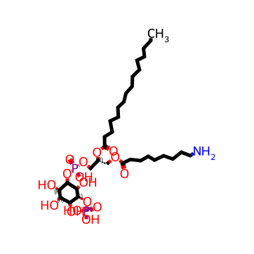 CCCCCCCCCCCCCCCC(=O)O[C@H](COC(=O)CCCCCCCCN)COP(=O)(O)OC1C(O)[C@@H](OP(=O)(O)O)C(O)[C@@H](O)[C@H]1O